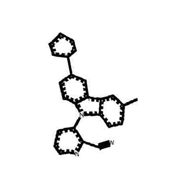 Cc1ccc2c(c1)c1cc(-c3ccccc3)ccc1n2-c1cccnc1C#N